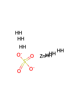 O=S(=O)([O-])[O-].[HH].[HH].[HH].[HH].[HH].[HH].[Zn+2]